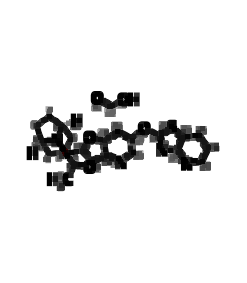 CC(=O)N1C[C@H]2CC[C@@H](C1)N2Cc1cc2ncc(Oc3nc4ncccc4s3)cc2o1.O=CO